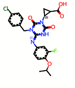 CC(C)Oc1ccc(/N=c2\[nH]c(=O)n([C@H]3CC3C(=O)O)c(=O)n2Cc2ccc(Cl)cc2)cc1F